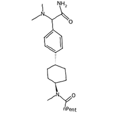 CCCCCC(=O)N(C)[C@H]1CC[C@H](c2ccc(C(C(N)=O)N(C)C)cc2)CC1